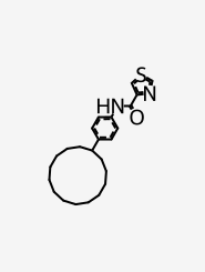 O=C(Nc1ccc(C2CCCCCCCCCCCCC2)cc1)c1cscn1